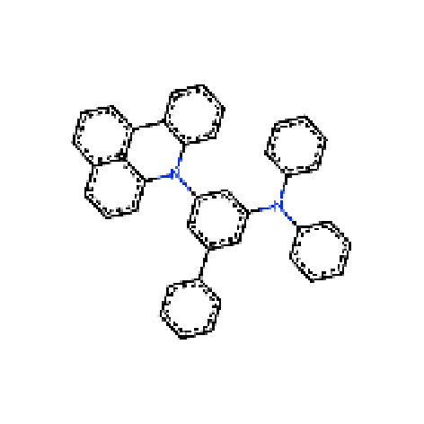 c1ccc(-c2cc(N(c3ccccc3)c3ccccc3)cc(N3c4ccccc4-c4cccc5cccc3c45)c2)cc1